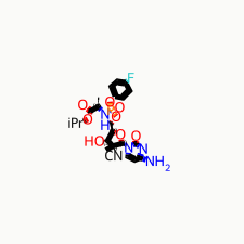 CC(C)OC(=O)[C@H](C)NP(=O)(OC[C@H]1O[C@@H](n2ccc(N)nc2=O)[C@](C)(C#N)[C@@H]1O)Oc1ccc(F)cc1